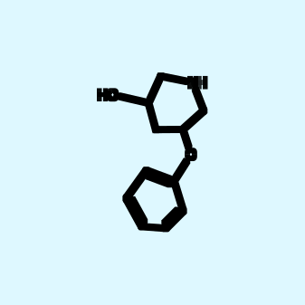 OC1CNCC(Oc2ccccc2)C1